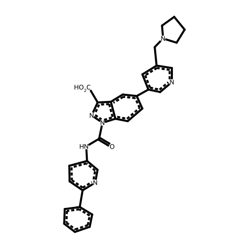 O=C(O)c1nn(C(=O)Nc2ccc(-c3ccccc3)nc2)c2ccc(-c3cncc(CN4CCCC4)c3)cc12